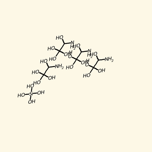 NC(O)C(O)(O)O.NC(O)C(O)(O)O.NC(O)C(O)(O)O.NC(O)C(O)(O)O.O[Si](O)(O)O